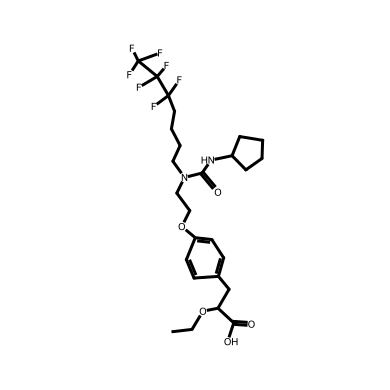 CCOC(Cc1ccc(OCCN(CCCCC(F)(F)C(F)(F)C(F)(F)F)C(=O)NC2CCCC2)cc1)C(=O)O